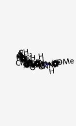 COC1CCC(NC/C=C/C(=O)Nc2ccc(C(=O)c3ccc4c(-c5c(C)cc6c(ncn6C)c5Cl)cccn34)cc2C#N)CC1